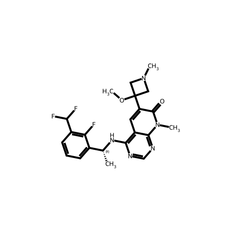 COC1(c2cc3c(N[C@H](C)c4cccc(C(F)F)c4F)ncnc3n(C)c2=O)CN(C)C1